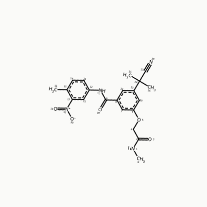 CNC(=O)COc1cc(C(=O)Nc2ccc(C)c([N+](=O)[O-])c2)cc(C(C)(C)C#N)c1